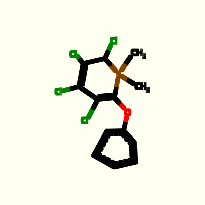 CS1(C)C(Oc2ccccc2)=C(Cl)C(Cl)=C(Cl)C1Cl